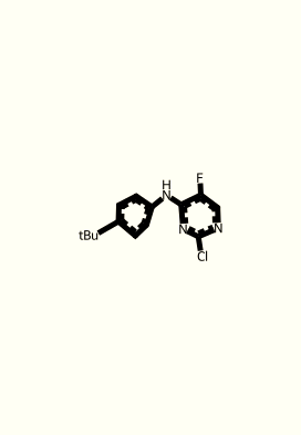 CC(C)(C)c1ccc(Nc2nc(Cl)ncc2F)cc1